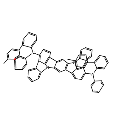 Cc1ccc(-c2ccccc2N(c2ccccc2)c2ccc3c4cc5c(cc4n4c6ccccc6c2c34)c2ccc(N(c3ccccc3)c3ccccc3-c3ccc(C)cc3)c3c4ccccc4n5c23)cc1